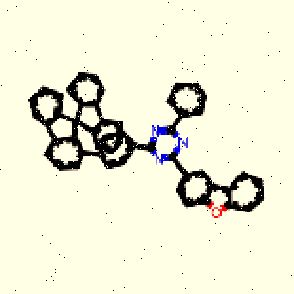 c1ccc(-c2nc(-c3ccc(-c4cccc5c4C4(c6ccccc6-c6ccccc64)c4ccccc4-5)cc3)nc(-c3ccc4oc5ccccc5c4c3)n2)cc1